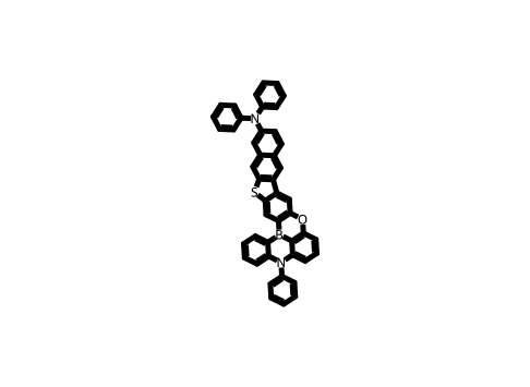 c1ccc(N(c2ccccc2)c2ccc3cc4c(cc3c2)sc2cc3c(cc24)Oc2cccc4c2B3c2ccccc2N4c2ccccc2)cc1